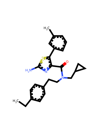 CCc1ccc(CCN(CC2CC2)C(=O)c2nc(N)sc2-c2cccc(C)c2)cc1